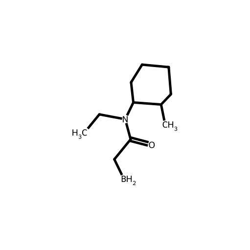 BCC(=O)N(CC)C1CCCCC1C